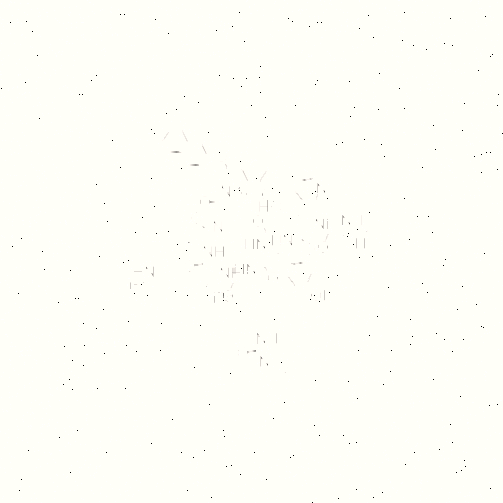 CC(=O)N(C(=O)[C@@H]1CCCN1C(=O)[C@H](CCCCNC(C)C)NC(=O)[C@H](CC(C)C)NC(=O)[C@@H](CCCCNC(N)=O)NC(=O)[C@H](Cc1ccc(O)cc1)NC(=O)[C@H](CO)NC(=O)[C@@H](Cc1cccnc1)NC(=O)[C@H](C)N)[C@H](Cc1ccc2ccccc2c1)C(=O)C1=CC(Cl)=CC[CH]1